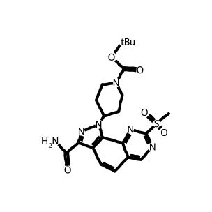 CC(C)(C)OC(=O)N1CCC(n2nc(C(N)=O)c3ccc4cnc(S(C)(=O)=O)nc4c32)CC1